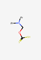 CC(C)N(COC(=S)S)C(C)C